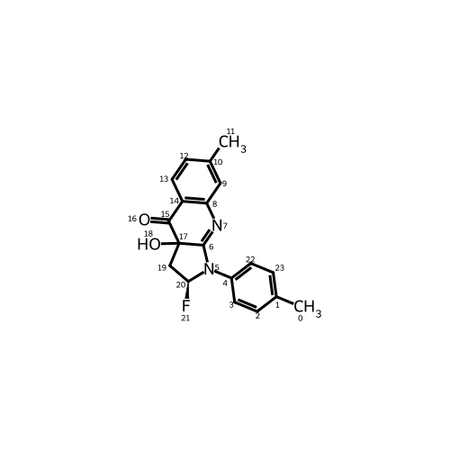 Cc1ccc(N2C3=Nc4cc(C)ccc4C(=O)C3(O)C[C@@H]2F)cc1